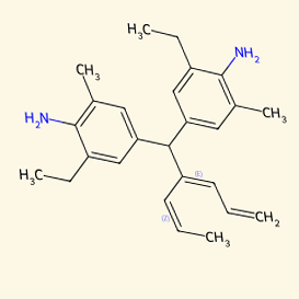 C=C/C=C(\C=C/C)C(c1cc(C)c(N)c(CC)c1)c1cc(C)c(N)c(CC)c1